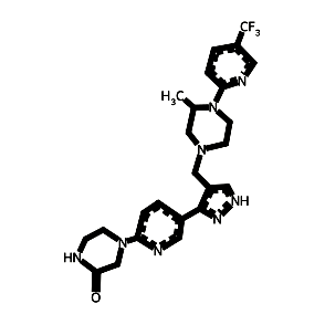 CC1CN(Cc2c[nH]nc2-c2ccc(N3CCNC(=O)C3)nc2)CCN1c1ccc(C(F)(F)F)cn1